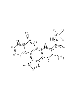 Cn1ccc(-c2nc(N)c(C(=O)NC(C)(C)C)nc2-c2cc(Cl)c3ncccc3c2)n1